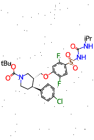 CC(C)NC(=O)NS(=O)(=O)c1cc(F)c(OC[C@H]2CN(C(=O)OC(C)(C)C)CC[C@@H]2c2ccc(Cl)cc2)cc1F